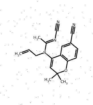 C=CCN(C1=CC(C)(C)Oc2ccc(C#N)cc21)C(C)=NC#N